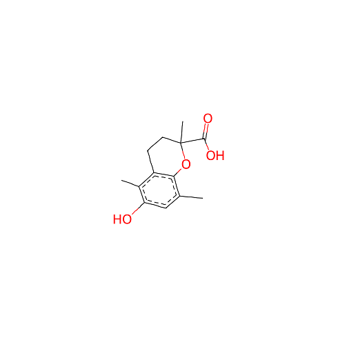 Cc1cc(O)c(C)c2c1OC(C)(C(=O)O)CC2